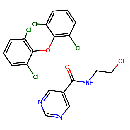 Clc1cccc(Cl)c1Oc1c(Cl)cccc1Cl.O=C(NCCO)c1cncnc1